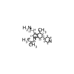 Cc1cc(-c2ccncc2)cc2c1c(CCN)cn2CC(C)C